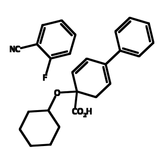 N#Cc1ccccc1F.O=C(O)C1(OC2CCCCC2)C=CC(c2ccccc2)=CC1